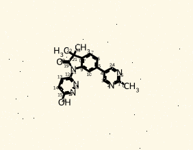 Cc1ncc(-c2ccc3c(c2)N(c2ccc(O)nn2)C(=O)C3(C)C)cn1